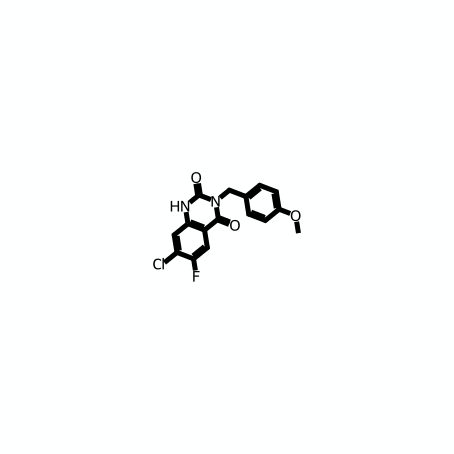 COc1ccc(Cn2c(=O)[nH]c3cc(Cl)c(F)cc3c2=O)cc1